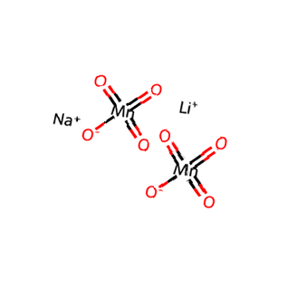 [Li+].[Na+].[O]=[Mn](=[O])(=[O])[O-].[O]=[Mn](=[O])(=[O])[O-]